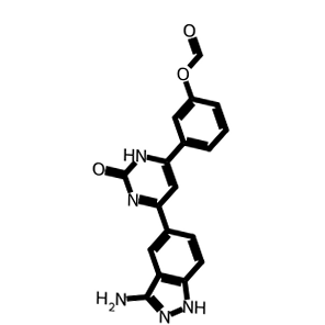 Nc1n[nH]c2ccc(-c3cc(-c4cccc(OC=O)c4)[nH]c(=O)n3)cc12